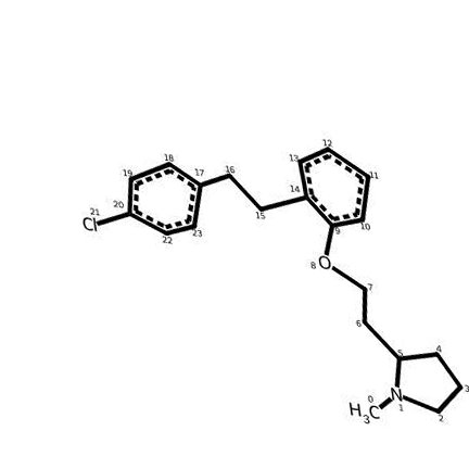 CN1CCCC1CCOc1ccccc1CCc1ccc(Cl)cc1